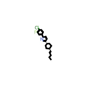 CCCC=C[C@H]1CC[C@H](c2ccc(-c3ccc(Cl)c(F)c3)nc2)CC1